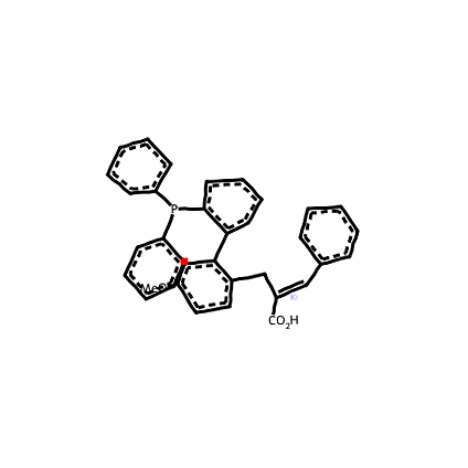 COc1ccc(C/C(=C\c2ccccc2)C(=O)O)c(-c2ccccc2P(c2ccccc2)c2ccccc2)c1